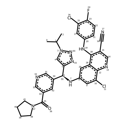 CC(C)n1cc([C@@H](Nc2cc(Cl)c3ncc(C#N)c(Nc4ccc(F)c(Cl)c4)c3c2)c2cncc(C(=O)N3CCCC3)c2)nn1